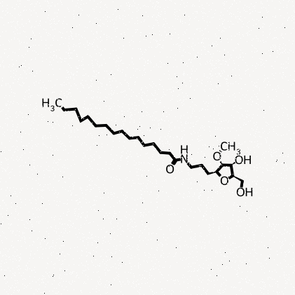 CCCCCCCCCCCCCCCC(=O)NCCC[C@@H]1O[C@H](CO)[C@@H](O)[C@H]1OC